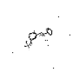 FC(F)(F)Oc1cccc(CNc2cc[c]cn2)c1